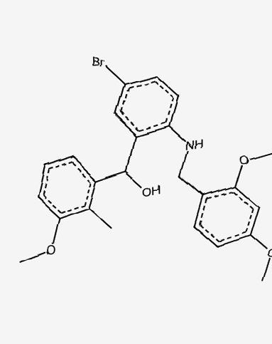 COc1ccc(CNc2ccc(Br)cc2C(O)c2cccc(OC)c2C)c(OC)c1